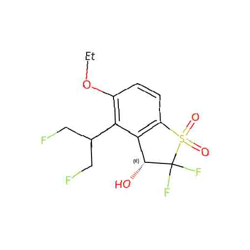 CCOc1ccc2c(c1C(CF)CF)[C@@H](O)C(F)(F)S2(=O)=O